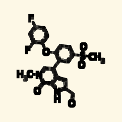 Cn1cc(-c2cc(S(C)(=O)=O)ccc2Oc2ccc(F)cc2F)c2cc(C=O)[nH]c2c1=O